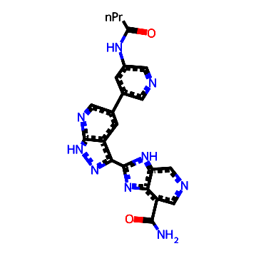 CCCC(=O)Nc1cncc(-c2cnc3[nH]nc(-c4nc5c(C(N)=O)cncc5[nH]4)c3c2)c1